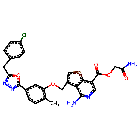 Cc1ccc(-c2nnc(Cc3ccc(Cl)cc3)o2)cc1OCc1csc2c(C(=O)OCC(N)=O)cnc(N)c12